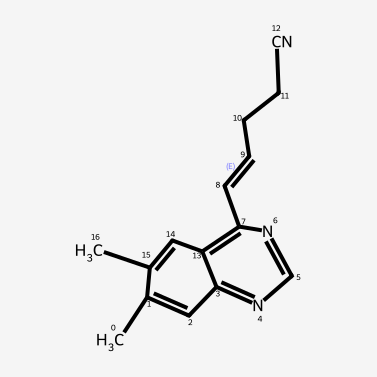 Cc1cc2ncnc(/C=C/CCC#N)c2cc1C